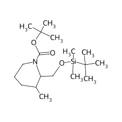 CC1CCCN(C(=O)OC(C)(C)C)C1CO[Si](C)(C)C(C)(C)C